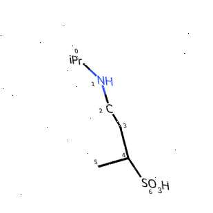 CC(C)NCCC(C)S(=O)(=O)O